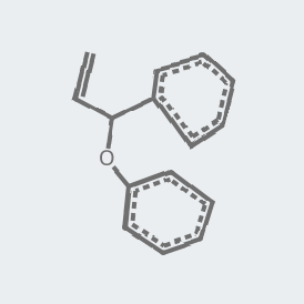 C=CC(Oc1ccccc1)c1ccccc1